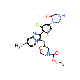 COC(=O)N1CCOC(Cc2c(-c3c(F)cc(N4CCNCC4=O)cc3F)nc3cc(C)ccn23)C1